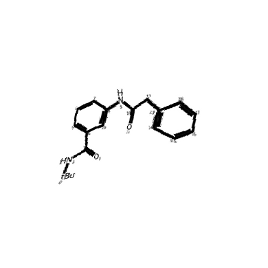 CC(C)(C)NC(=O)c1cccc(NC(=O)Cc2ccccc2)c1